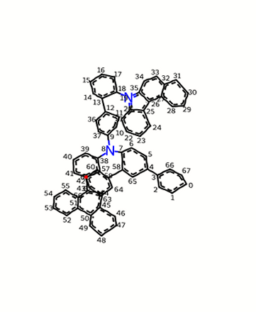 c1ccc(-c2ccc(N(c3ccc(-c4ccccc4-n4c5ccccc5c5c6ccccc6ccc54)cc3)c3cccc(-c4cc5ccccc5c5ccccc45)c3)c(-c3ccccc3)c2)cc1